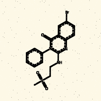 CS(=O)(=O)CCNc1nc2ccc(Br)cc2c(=O)n1-c1ccccc1